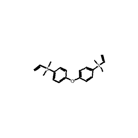 C=CS(C)(C)c1ccc(Oc2ccc(S(C)(C)C=C)cc2)cc1